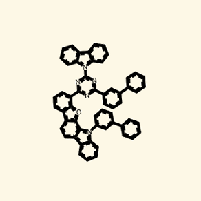 c1ccc(-c2cccc(-c3nc(-c4cccc5c4oc4c5ccc5c6ccccc6n(-c6cccc(-c7ccccc7)c6)c54)nc(-n4c5ccccc5c5ccccc54)n3)c2)cc1